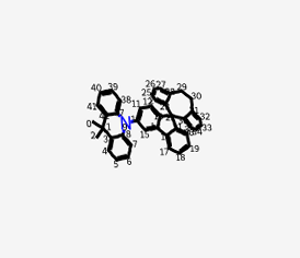 CC1(C)c2ccccc2N(c2ccc3c(c2)-c2ccccc2C32c3ccccc3CCc3ccccc32)c2ccccc21